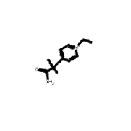 CC[n+]1ccc(C(C)(C)C(N)=O)cc1